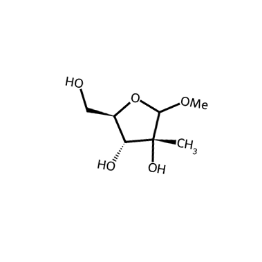 COC1O[C@H](CO)[C@@H](O)[C@@]1(C)O